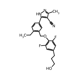 CCc1ccc(-c2[nH]nc(C)c2C#N)cc1COc1c(F)cc(CCCO)cc1F